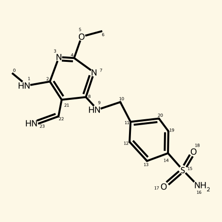 CNc1nc(OC)nc(NCc2ccc(S(N)(=O)=O)cc2)c1C=N